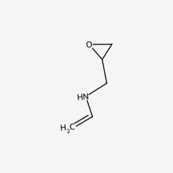 C=CNCC1CO1